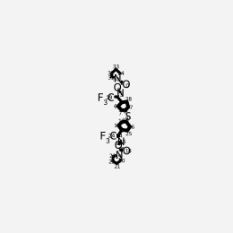 O=C(O/N=C(/c1ccc(Sc2ccc(/C(=N/OC(=O)N3CCCC3)C(F)(F)F)cc2)cc1)C(F)(F)F)N1CCCC1